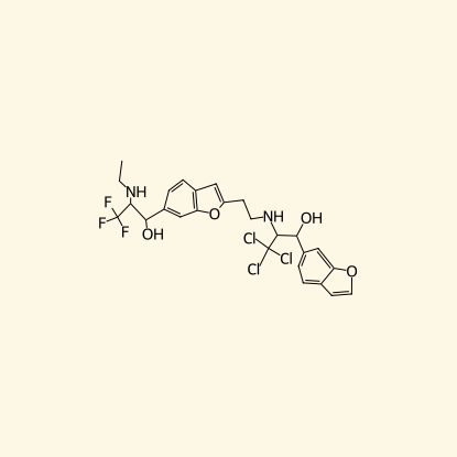 CCNC(C(O)c1ccc2cc(CCNC(C(O)c3ccc4ccoc4c3)C(Cl)(Cl)Cl)oc2c1)C(F)(F)F